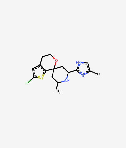 CCc1c[nH]c(C2CC3(CC(C)N2)OCCc2cc(Cl)sc23)n1